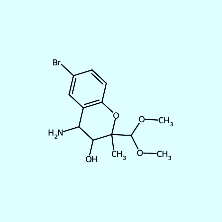 COC(OC)C1(C)Oc2ccc(Br)cc2C(N)C1O